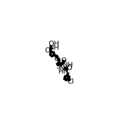 O=C(NCc1cccc(Cl)c1)c1nc2scc(COCC3CCC(C(=O)NCO)C3)c2c(=O)[nH]1